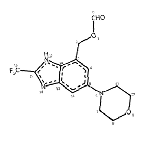 O=COCc1cc(N2CCOCC2)cc2nc(C(F)(F)F)[nH]c12